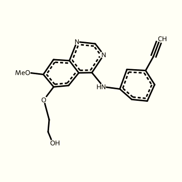 C#Cc1cccc(Nc2ncnc3cc(OC)c(OCCO)cc23)c1